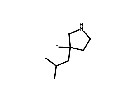 CC(C)CC1(F)CCNC1